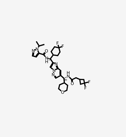 CC(C)n1nccc1C(=O)N[C@H](c1cn2ncc([C@H](NC(=O)CC3CC(F)(F)C3)C3CCOCC3)cc2n1)C1CCC(F)(F)CC1